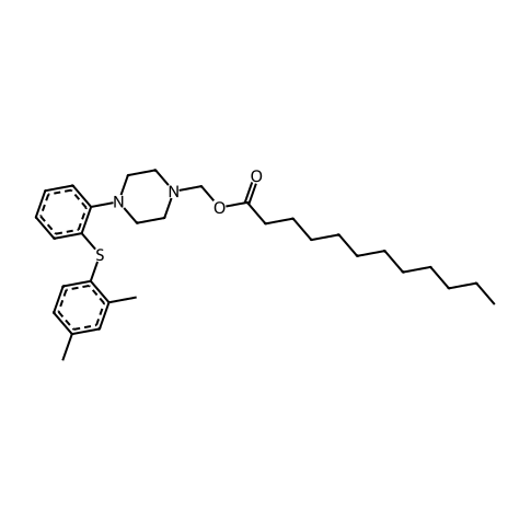 CCCCCCCCCCCC(=O)OCN1CCN(c2ccccc2Sc2ccc(C)cc2C)CC1